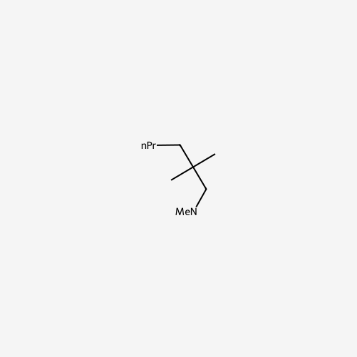 CCCCC(C)(C)CNC